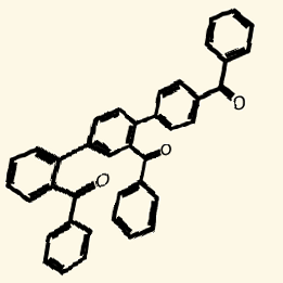 O=C(c1ccccc1)c1ccc(-c2ccc(-c3ccccc3C(=O)c3ccccc3)cc2C(=O)c2ccccc2)cc1